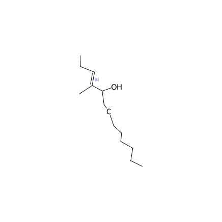 CC/C=C(\C)C(O)CCCCCCCC